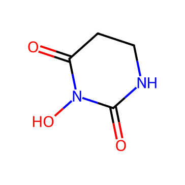 O=C1CCNC(=O)N1O